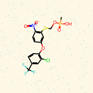 CP(=O)(O)OCSc1cc(Oc2ccc(C(F)(F)F)cc2Cl)ccc1[N+](=O)[O-]